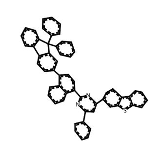 c1ccc(-c2cc(-c3ccc4c(c3)sc3ccccc34)nc(-c3ccc(-c4ccc5c(c4)C(c4ccccc4)(c4ccccc4)c4ccccc4-5)c4ccccc34)n2)cc1